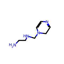 NCCNCN1C=CN=CC1